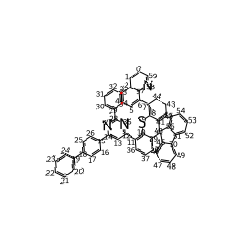 C1=CC2C=CC=C(C3=C4Sc5c(-c6cc(-c7ccc(-c8ccccc8)cc7)nc(-c7ccccc7)n6)cccc5C5(C4=CCC3)c3ccccc3-c3ccccc35)C2N=C1